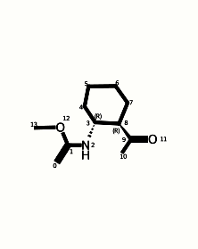 C=C(N[C@@H]1CCCC[C@H]1C(C)=O)OC